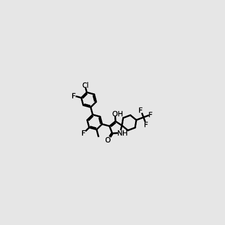 Cc1c(F)cc(-c2ccc(Cl)c(F)c2)cc1C1=C(O)C2(CCC(C(F)(F)F)CC2)NC1=O